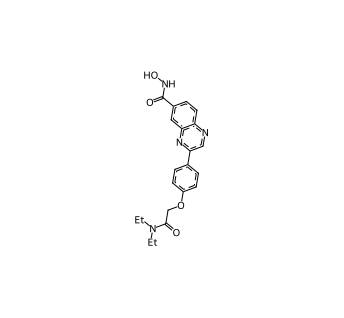 CCN(CC)C(=O)COc1ccc(-c2cnc3ccc(C(=O)NO)cc3n2)cc1